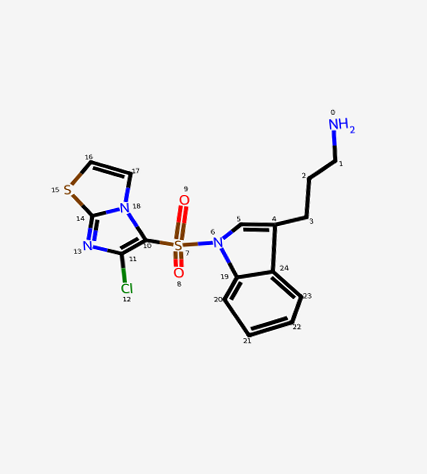 NCCCc1cn(S(=O)(=O)c2c(Cl)nc3sccn23)c2ccccc12